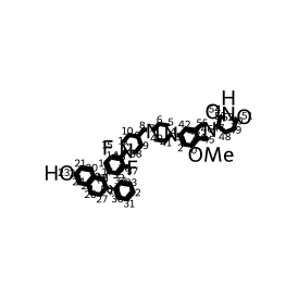 COc1cc(N2CCN(CC3CCN(c4c(F)cc([C@H]5c6ccc(O)cc6CC[C@H]5c5ccccc5)cc4F)CC3)CC2)cc2c1CN(C1CCC(=O)NC1=O)C2